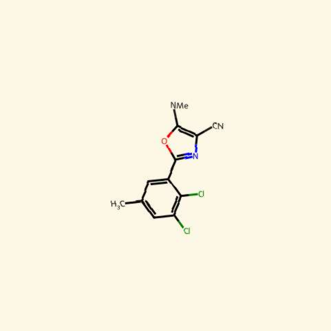 CNc1oc(-c2cc(C)cc(Cl)c2Cl)nc1C#N